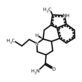 CCCN1CC(C(N)=O)CC2c3cccc4[nH]c(C)c(c34)C[C@H]21